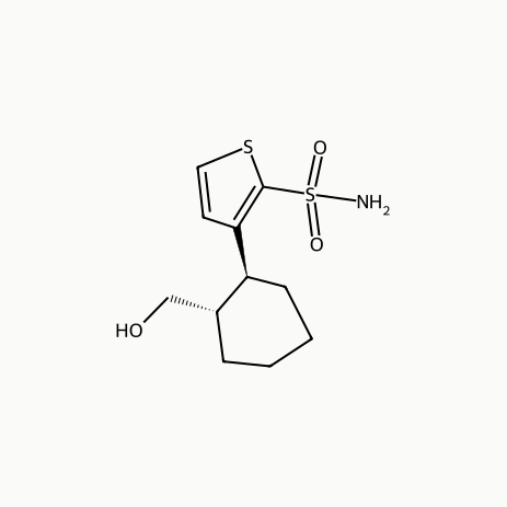 NS(=O)(=O)c1sccc1[C@H]1CCCC[C@@H]1CO